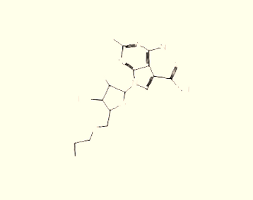 CCCOCC1OC(n2cc(C(N)=O)c3c(N)nc(C)nc32)C(O)C1O